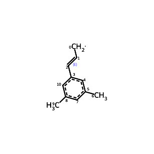 [CH2]/C=C/c1cc(C)cc(C)c1